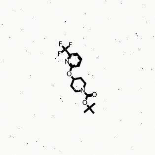 CC(C)(C)OC(=O)N1CCC(Oc2cccc(C(F)(F)F)n2)CC1